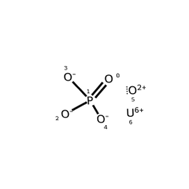 O=P([O-])([O-])[O-].[O+2].[U+6]